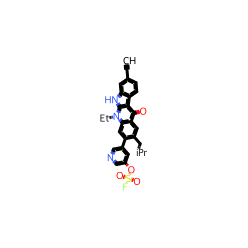 C#Cc1ccc2c(c1)[nH]c1c2c(=O)c2cc(CC(C)C)c(-c3cncc(OS(=O)(=O)F)c3)cc2n1CC